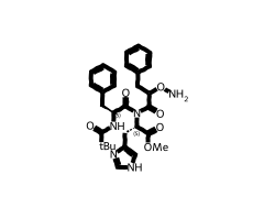 COC(=O)[C@H](Cc1c[nH]cn1)N(C(=O)C(Cc1ccccc1)ON)C(=O)[C@H](Cc1ccccc1)NC(=O)C(C)(C)C